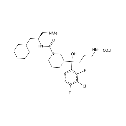 CNC[C@H](CC1CCCCC1)NC(=O)N1CCC[C@@H]([C@@](O)(CCCNC(=O)O)c2ccc(F)c(Cl)c2F)C1